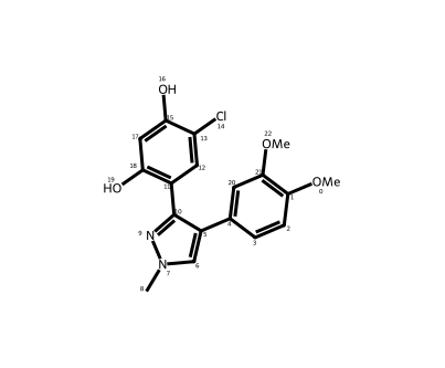 COc1ccc(-c2cn(C)nc2-c2cc(Cl)c(O)cc2O)cc1OC